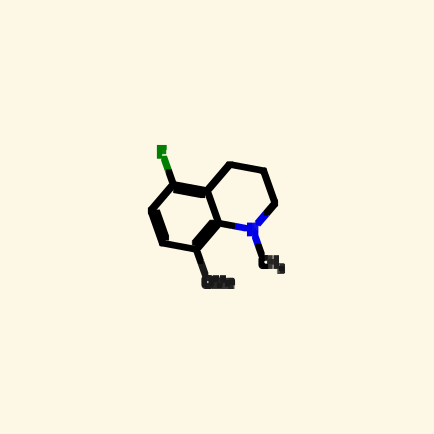 COc1ccc(F)c2c1N(C)CCC2